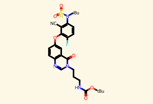 CCC(C)N(c1ccc(F)c(Oc2ccc3ncn(CCCNC(=O)OC(C)(C)C)c(=O)c3c2)c1C#N)[SH](=O)=O